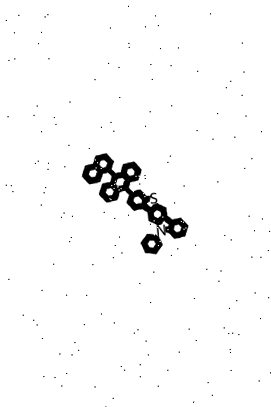 c1ccc(-n2c3ccccc3c3cc4sc5cc(-c6c7ccccc7c(-c7cccc8ccccc78)c7ccccc67)ccc5c4cc32)cc1